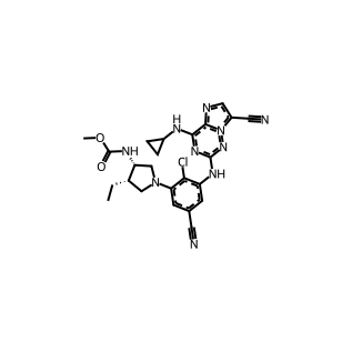 CC[C@H]1CN(c2cc(C#N)cc(Nc3nc(NC4CC4)c4ncc(C#N)n4n3)c2Cl)C[C@H]1NC(=O)OC